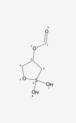 O=COC1COS(O)(O)C1